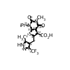 Cc1[nH]nc(C(F)(F)F)c1Cc1sc2c(c1C(=O)O)c(=O)n(C)c(=O)n2C(C)C